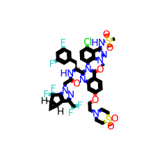 Cn1nc(NS(C)(=O)=O)c2c(Cl)ccc(-n3c([C@H](Cc4cc(F)cc(F)c4)NC(=O)Cn4nc(C(F)F)c5c4C(F)(F)[C@@H]4C[C@H]54)nc4cc(OCCN5CCS(=O)(=O)CC5)ccc4c3=O)c21